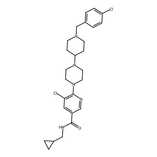 O=C(NCC1CC1)c1cnc(N2CCN(C3CCN(Cc4ccc(Cl)cc4)CC3)CC2)c(Cl)c1